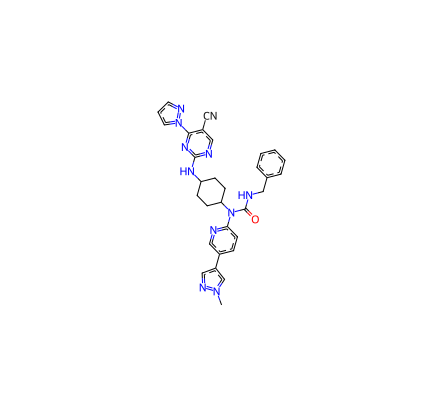 Cn1cc(-c2ccc(N(C(=O)NCc3ccccc3)C3CCC(Nc4ncc(C#N)c(-n5cccn5)n4)CC3)nc2)cn1